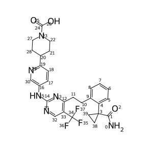 NC(=O)C1(c2ccccc2CCc2nc(Nc3ccc(C4CCN(C(=O)O)CC4)nc3)ncc2C(F)(F)F)CC1